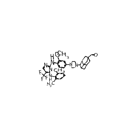 COc1cc(N2CCN(C3C4CC5CC3CC(C=O)(C5)C4)CC2)ccc1Nc1ncc(C(F)(F)F)c(Nc2c(C)cccc2C)n1